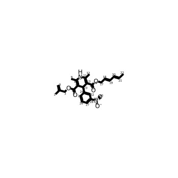 C=C(C)COC(=O)C1=C(C)NC(C)=C(C(=O)OCC=CC=CC)C1c1cccc([N+](=O)[O-])c1